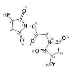 [2H]C1CC(=O)N(OC(=O)CN2C(=O)CC(C(C)C)C2=O)C1=O